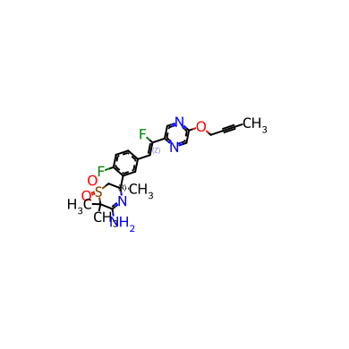 CC#CCOc1cnc(/C(F)=C/c2ccc(F)c([C@]3(C)CS(=O)(=O)C(C)(C)C(N)=N3)c2)cn1